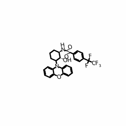 O=S(=O)(N[C@@H]1CCCC(N2c3ccccc3Oc3ccccc32)[C@H]1O)c1ccc(C(F)(F)C(F)(F)F)cc1